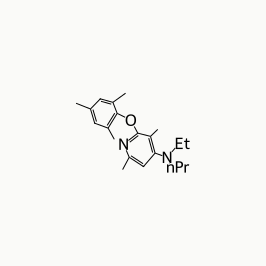 CCCN(CC)c1cc(C)nc(Oc2c(C)cc(C)cc2C)c1C